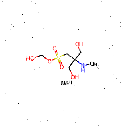 CNC(CO)(CO)CS(=O)(=O)OCO.[NaH]